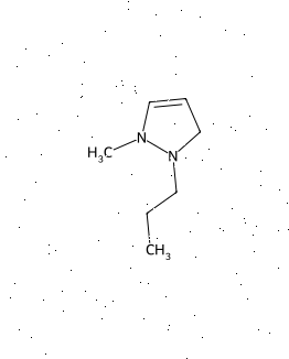 CCCN1CC=CN1C